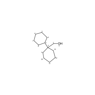 OCC1(C2CCCCC2)CCCCC1